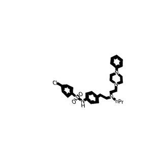 CCCN(CCc1ccc(NS(=O)(=O)c2ccc(Cl)cc2)cc1)CCN1CCN(c2ccccc2)CC1